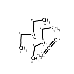 C=C=O.CCOCC.CCOCC